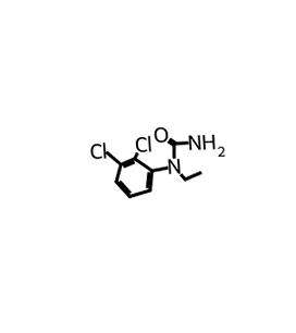 CCN(C(N)=O)c1cccc(Cl)c1Cl